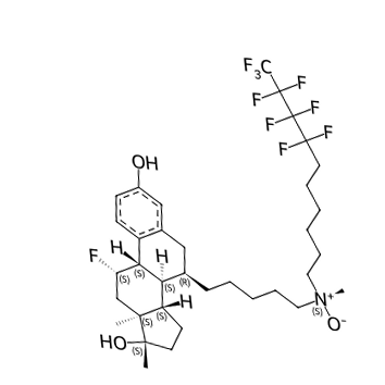 C[C@]1(O)CC[C@H]2[C@@H]3[C@H](CCCCC[N@@+](C)([O-])CCCCCCC(F)(F)C(F)(F)C(F)(F)C(F)(F)F)Cc4cc(O)ccc4[C@H]3[C@@H](F)C[C@@]21C